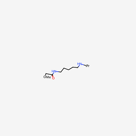 COCC(=O)NCCCCCNC(C)C